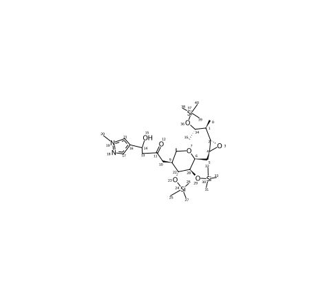 C[C@@H]([C@@H]1O[C@H]1C[C@@H]1OC[C@H](CC(=O)CC(O)c2cnn(C)c2)[C@@H](O[Si](C)(C)C)[C@@H]1O[Si](C)(C)C)[C@H](C)O[Si](C)(C)C